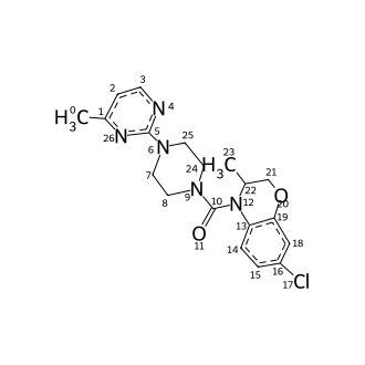 Cc1ccnc(N2CCN(C(=O)N3c4ccc(Cl)cc4OCC3C)CC2)n1